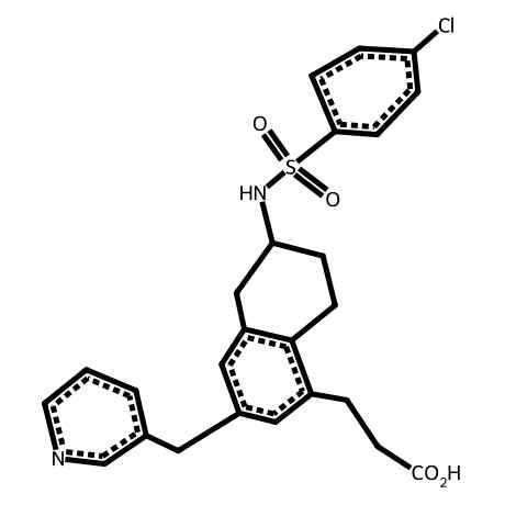 O=C(O)CCc1cc(Cc2cccnc2)cc2c1CCC(NS(=O)(=O)c1ccc(Cl)cc1)C2